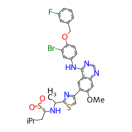 COc1cc2ncnc(Nc3ccc(OCc4cccc(F)c4)c(Br)c3)c2cc1-c1csc(C(C)NC(CC(C)C)=S(=O)=O)n1